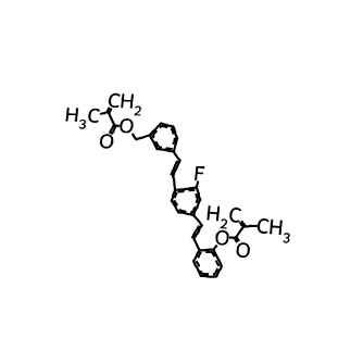 C=C(C)C(=O)OCc1cccc(/C=C/c2ccc(/C=C/c3ccccc3OC(=O)C(=C)C)cc2F)c1